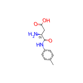 Cc1ccc(NC(=O)[C@@H](N)CC(=O)O)cc1